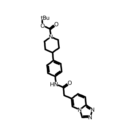 CC(C)(C)OC(=O)N1CCC(c2ccc(NC(=O)Cc3ccc4nncn4c3)cc2)CC1